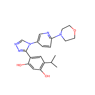 CC(C)c1cc(-c2nn[c]n2-c2ccc(N3CCOCC3)nc2)c(O)cc1O